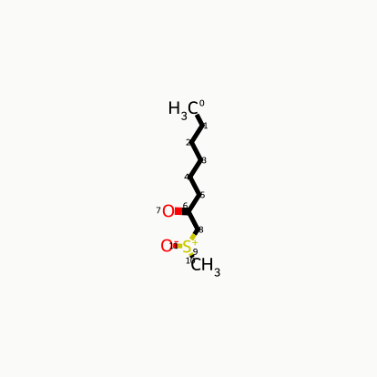 CCCCCCC(=O)C[S+](C)[O-]